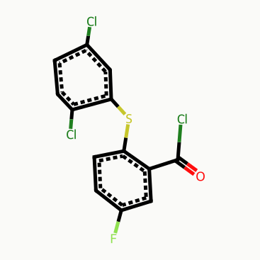 O=C(Cl)c1cc(F)ccc1Sc1cc(Cl)ccc1Cl